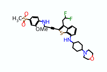 COc1cc(S(C)(=O)=O)ccc1NCC#Cc1sc2c(NC3CCC(N4CCOCC4)CC3)cccc2c1CC(F)F